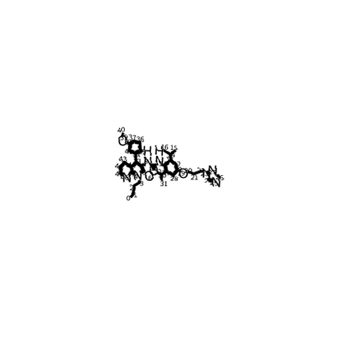 CCCCn1c(=O)c(NC(=O)Nc2c(C(C)C)cc(OCCCn3cncn3)cc2C(C)C)c(-c2cccc(OC)c2)c2cccnc21